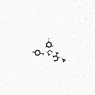 COc1cc(F)c([C@@H]2CN(c3nccc(NC4CC4)c3C(F)(F)F)C(=O)[C@H]2NC(=O)c2ccc(Cl)cc2)c(F)c1